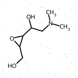 CN(C)CC(O)C1OC1CO